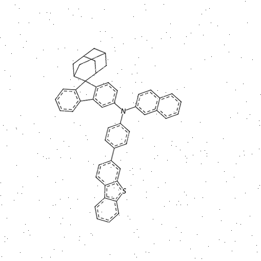 c1ccc2c(c1)-c1cc(N(c3ccc(-c4ccc5c(c4)sc4ccccc45)cc3)c3ccc4ccccc4c3)ccc1C21C2CC3CC(C2)CC1C3